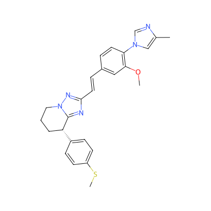 COc1cc(/C=C/c2nc3n(n2)CCC[C@H]3c2ccc(SC)cc2)ccc1-n1cnc(C)c1